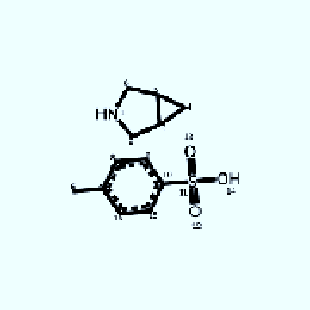 C1NCC2CC12.Cc1ccc(S(=O)(=O)O)cc1